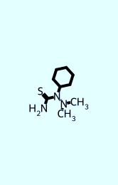 CN(C)N(C(N)=S)C1CCCCC1